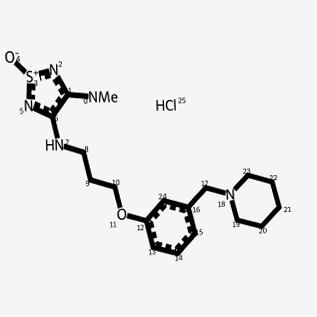 CNc1n[s+]([O-])nc1NCCCOc1cccc(CN2CCCCC2)c1.Cl